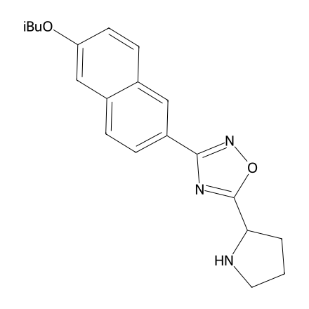 CC(C)COc1ccc2cc(-c3noc(C4CCCN4)n3)ccc2c1